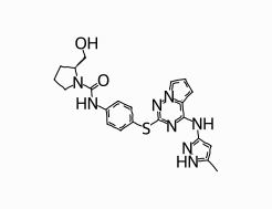 Cc1cc(Nc2nc(Sc3ccc(NC(=O)N4CCC[C@H]4CO)cc3)nn3cccc23)n[nH]1